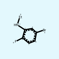 CCNc1cc(Br)ccc1F